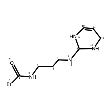 CCC(=O)NCCCNC1NC=CCN1